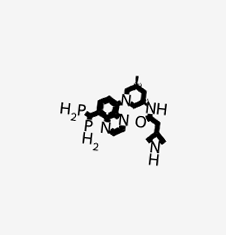 C[C@H]1C[C@@H](NC(=O)CC2CNC2)CN(c2ccc(C(P)P)c3nccnc23)C1